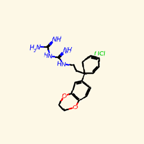 Cl.N=C(N)NC(=N)NCCC1(c2ccc3c(c2)OCCO3)C=CC=CC1